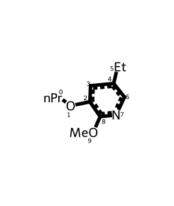 CCCOc1cc(CC)cnc1OC